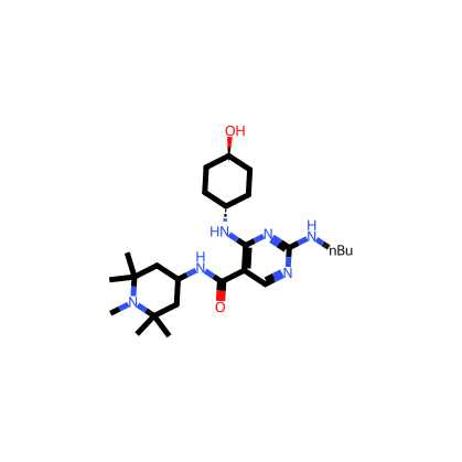 CCCCNc1ncc(C(=O)NC2CC(C)(C)N(C)C(C)(C)C2)c(N[C@H]2CC[C@H](O)CC2)n1